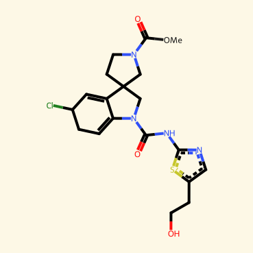 COC(=O)N1CCC2(C1)CN(C(=O)Nc1ncc(CCO)s1)C1=CCC(Cl)C=C12